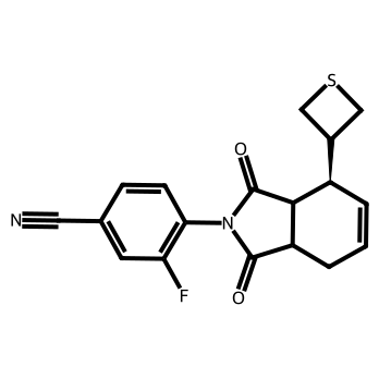 N#Cc1ccc(N2C(=O)C3CC=C[C@H](C4CSC4)C3C2=O)c(F)c1